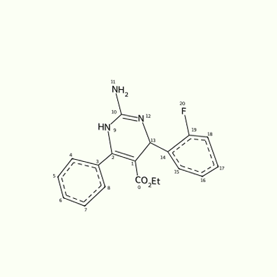 CCOC(=O)C1=C(c2ccccc2)NC(N)=NC1c1ccccc1F